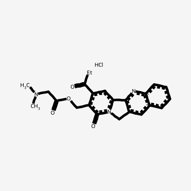 CCC(=O)c1cc2n(c(=O)c1COC(=O)CN(C)C)Cc1cc3ccccc3nc1-2.Cl